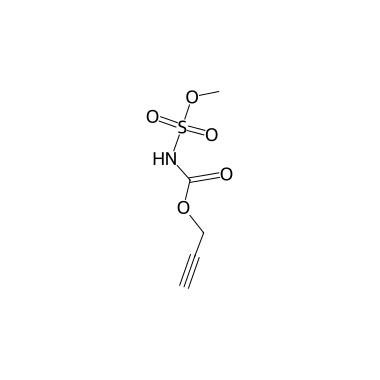 C#CCOC(=O)NS(=O)(=O)OC